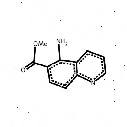 COC(=O)c1ccc2ncccc2c1N